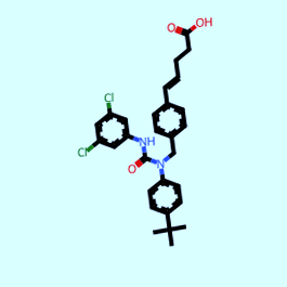 CC(C)(C)c1ccc(N(Cc2ccc(/C=C/CCC(=O)O)cc2)C(=O)Nc2cc(Cl)cc(Cl)c2)cc1